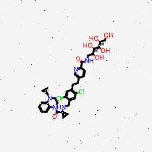 O=C(NC[C@H](O)[C@@H](O)[C@H](O)[C@H](O)CO)c1ccc(CCc2cc(Cl)c(CNC3(C(=O)N4CCN(C5CC5)c5ccccc54)CC3)cc2Cl)cn1